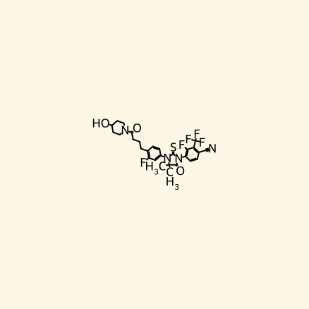 CC1(C)C(=O)N(c2ccc(C#N)c(C(F)(F)F)c2F)C(=S)N1c1ccc(CCCC(=O)N2CCC(O)CC2)c(F)c1